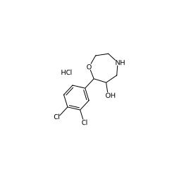 Cl.OC1CNCCOC1c1ccc(Cl)c(Cl)c1